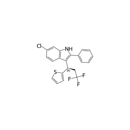 FC(F)(F)C[C@@H](c1cccs1)c1c(-c2ccccc2)[nH]c2cc(Cl)ccc12